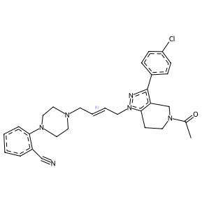 CC(=O)N1CCc2c(c(-c3ccc(Cl)cc3)nn2C/C=C/CN2CCN(c3ccccc3C#N)CC2)C1